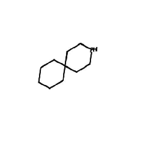 C1CCC2(CC1)CCPCC2